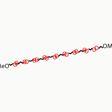 COCCCOOCCCOOCCCOOCCCOOCCCOOCCCOOCCCOOCCCOOCCCOOCCCOC